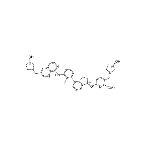 COc1nc(O[C@@H]2CCc3c(-c4cccc(Nc5nccc6cc(CN7CC[C@@H](O)C7)cnc56)c4F)cccc32)ccc1CN1CC[C@@H](O)C1